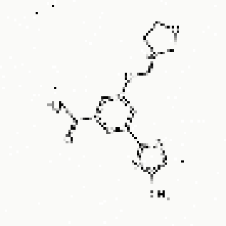 Cc1cnc(-c2cc(OC[C@H]3CCOC3)cc(C(N)=O)c2)s1